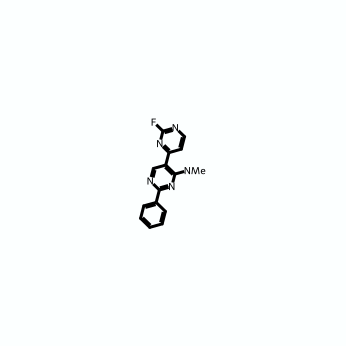 CNc1nc(-c2ccccc2)ncc1-c1ccnc(F)n1